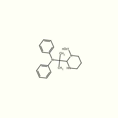 CCCCCCCCN1CCCNC1C(C)(C)N(c1ccccc1)c1ccccc1